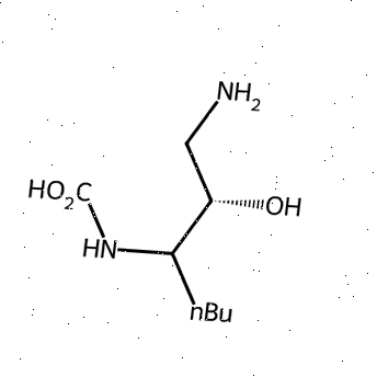 CCCCC(NC(=O)O)[C@@H](O)CN